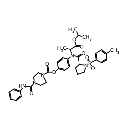 Cc1ccc(S(=O)(=O)N2CCC[C@H]2C(=O)N(c2ccc(OC(=O)N3CCN(C(=O)Nc4ccccc4)CC3)cc2)[C@@H](C)C(=O)OC(C)C)cc1